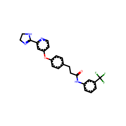 O=C(CCc1ccc(Oc2ccnc(C3=NCCN3)c2)cc1)Nc1cccc(C(F)(F)F)c1